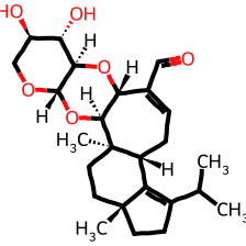 CC(C)C1=C2[C@H]3CC=C(C=O)[C@H]4O[C@H]5[C@@H](OC[C@@H](O)[C@@H]5O)O[C@@H]4[C@]3(C)CC[C@@]2(C)CC1